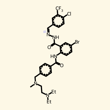 CCN(CC)CCN(C)Cc1ccc(C(=O)Nc2ccc(Br)cc2C(=O)N/N=C\c2ccc(Cl)c(C(F)(F)F)c2)cc1